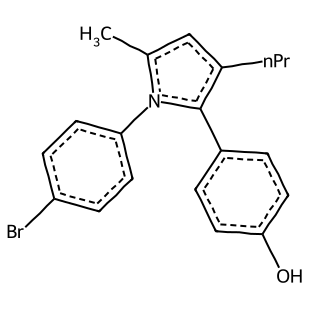 CCCc1cc(C)n(-c2ccc(Br)cc2)c1-c1ccc(O)cc1